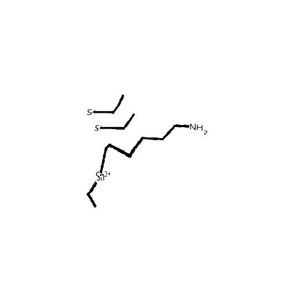 CC[S-].CC[S-].C[CH2][Sn+2][CH2]CCCCN